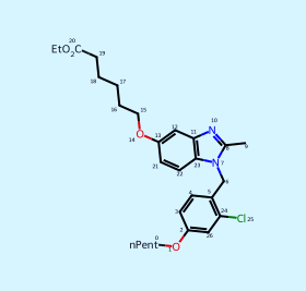 CCCCCOc1ccc(Cn2c(C)nc3cc(OCCCCCC(=O)OCC)ccc32)c(Cl)c1